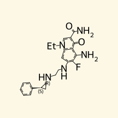 CCn1cc(C(N)=O)c(=O)c2c(N)c(F)c(NCCN[C@@H]3C[C@H]3c3ccccc3)cc21